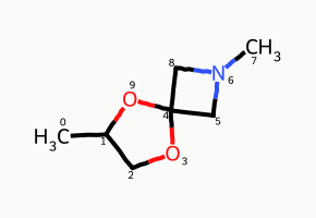 CC1COC2(CN(C)C2)O1